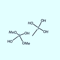 CO[Si](O)(O)OC.CS(O)(O)O